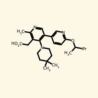 Cc1ncc(-c2ccc(OC(C)C(C)C)nc2)c(N2CCC(C)(C)CC2)c1CC(=O)O